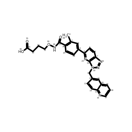 Cc1cc(-c2ccc3nnn(Cc4ccc5ncccc5c4)c3n2)ccc1C(=O)NOCCCC(=O)O